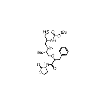 CC[C@H](C)C(COC(Cc1ccccc1)C(=O)N[C@@H]1CCOC1=O)NCC(CS)NC(=O)OC(C)(C)C